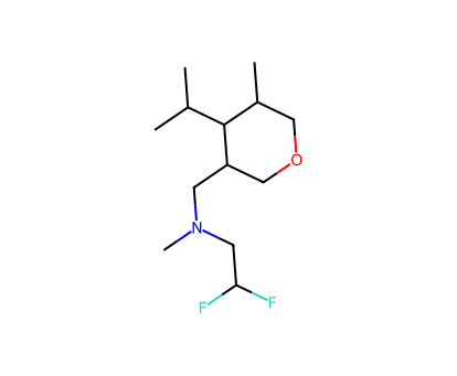 CC(C)C1C(C)COCC1CN(C)CC(F)F